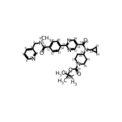 CN(Cc1cccnc1)C(=O)c1ccc(-c2ncc(C(=O)N(C3CC3)C3CCN(C(=O)OC(C)(C)C)CC3)cn2)cc1